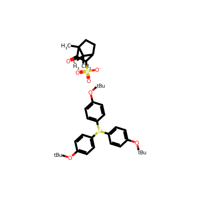 CC(C)(C)Oc1ccc([S+](c2ccc(OC(C)(C)C)cc2)c2ccc(OC(C)(C)C)cc2)cc1.CC12CCC(C(S(=O)(=O)[O-])C1=O)C2(C)C